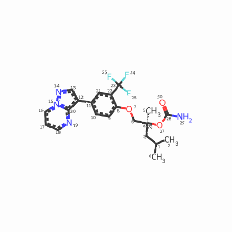 CC(C)C[C@@](C)(COc1ccc(-c2cnn3cccnc23)cc1C(F)(F)F)OC(N)=O